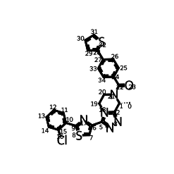 C[C@@H]1c2nnc(-c3csc(-c4ccccc4Cl)n3)n2CCN1C(=O)c1ccc(-c2cccs2)cc1